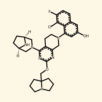 Oc1cc(N2CCc3c(nc(OCC45CCCN4CCC5)nc3N3C[C@H]4CC[C@@H](C3)N4)C2)c2c(Cl)c(F)ccc2c1